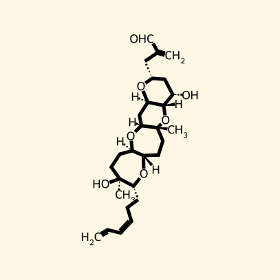 C=C/C=C\CC[C@H]1O[C@H]2CC[C@@]3(C)O[C@H]4[C@@H](O)C[C@@H](CC(=C)C=O)O[C@@H]4C[C@@H]3O[C@@H]2CC[C@]1(C)O